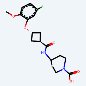 COc1ccc(F)cc1O[C@H]1C[C@H](C(=O)NC2CCN(C(=O)O)CC2)C1